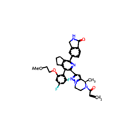 C=CC(=O)N1CCn2nc(-c3nc(-c4ccc5c(c4)CNC5=O)c4c(c3-c3c(F)cc(F)cc3OCCOC)CCC4)cc2[C@H]1C